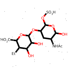 CCC1C(C(=O)O)OC(OC2CC(NC(C)=O)C(O)OC2OS(=O)(=O)O)C(O)C1O